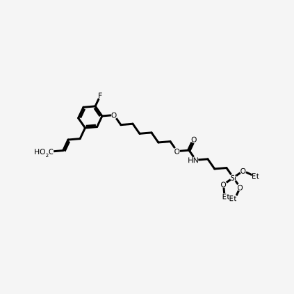 CCO[Si](CCCNC(=O)OCCCCCCOc1cc(CC=CC(=O)O)ccc1F)(OCC)OCC